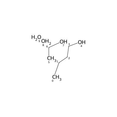 CCCCO.CCO.O.O